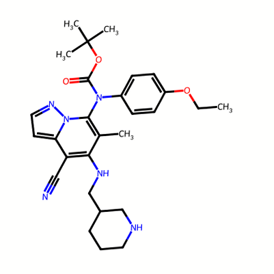 CCOc1ccc(N(C(=O)OC(C)(C)C)c2c(C)c(NCC3CCCNC3)c(C#N)c3ccnn23)cc1